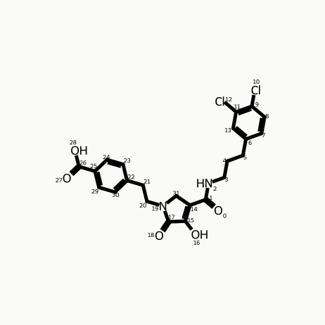 O=C(NCCCc1ccc(Cl)c(Cl)c1)C1=C(O)C(=O)N(CCc2ccc(C(=O)O)cc2)C1